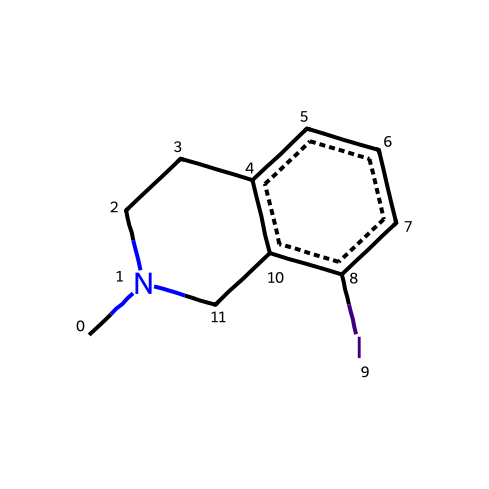 CN1CCc2cccc(I)c2C1